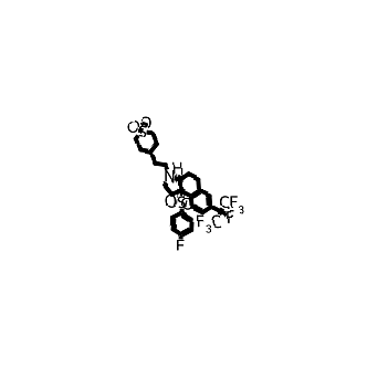 O=S1(=O)CCC(CCN2CC[C@@]3(S(=O)(=O)c4ccc(F)cc4)c4ccc(C(F)(C(F)(F)F)C(F)(F)F)cc4CC[C@@H]23)CC1